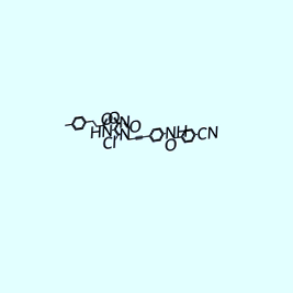 Cc1ccc(CCC(=O)Nc2c(Cl)n(CC#Cc3ccc(NC(=O)c4ccc(C#N)cc4)cc3)c(=O)n(C)c2=O)cc1